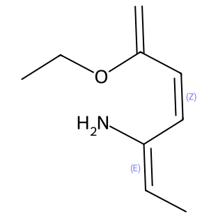 C=C(/C=C\C(N)=C/C)OCC